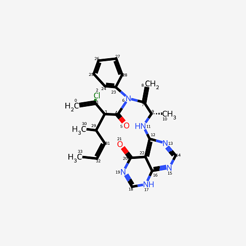 C=C(Cl)C(C(=O)N(C(=C)[C@H](C)Nc1ncnc2[nH]cnc(=O)c12)c1ccccc1)C(C)/C=C\C